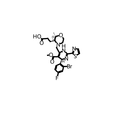 COC(=O)C1=C(CN2CCO[C@@H](C)[C@@H]2CCC(=O)O)NC(c2nccs2)=N[C@H]1c1ccc(F)cc1Br